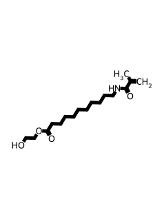 C=C(C)C(=O)NCCCCCCCCCCC(=O)OCCO